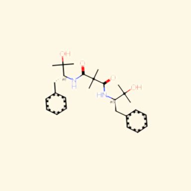 CC(C)(C(=O)N[C@H](Cc1ccccc1)C(C)(C)O)C(=O)N[C@H](Cc1ccccc1)C(C)(C)O